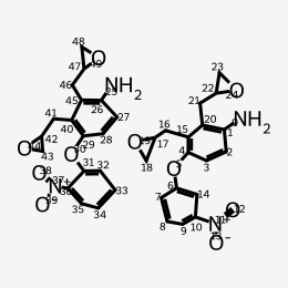 Nc1ccc(Oc2cccc([N+](=O)[O-])c2)c(CC2CO2)c1CC1CO1.Nc1ccc(Oc2ccccc2[N+](=O)[O-])c(CC2CO2)c1CC1CO1